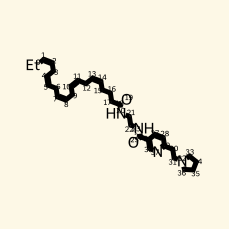 CC/C=C\C/C=C\C/C=C\C/C=C\C/C=C\CCCC(=O)NCCNC(=O)c1ccc(CCN2CCCC2)nc1